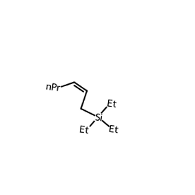 CCC/C=C\C[Si](CC)(CC)CC